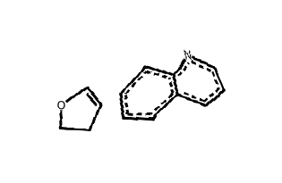 C1=COCC1.c1ccc2ncccc2c1